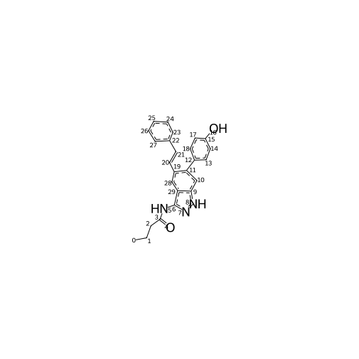 CCCC(=O)Nc1n[nH]c2cc(-c3ccc(O)cc3)c(/C=C/c3ccccc3)cc12